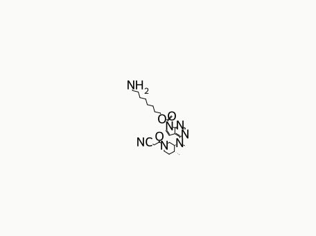 C[C@@H]1CCN(C(=O)CC#N)C[C@@H]1N(C)c1ncnc2c1ccn2C(=O)OCCCCCCCCN